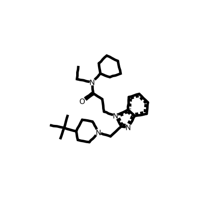 CCN(C(=O)CCn1c(CN2CCC(C(C)(C)C)CC2)nc2ccccc21)C1CCCCC1